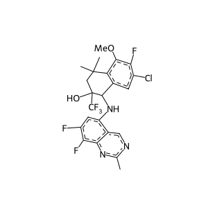 COc1c(F)c(Cl)cc2c1C(C)(C)CC(O)(C(F)(F)F)C2Nc1cc(F)c(F)c2nc(C)ncc12